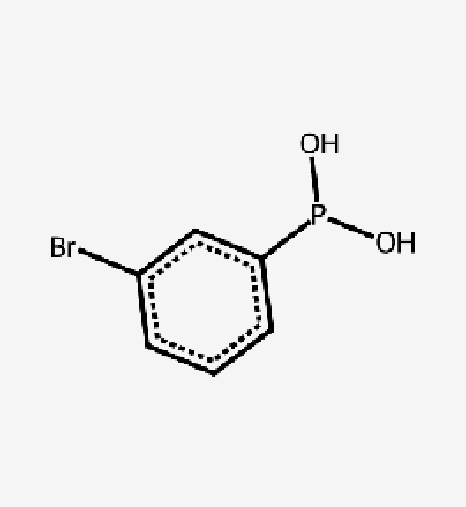 OP(O)c1cccc(Br)c1